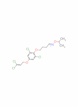 CC(C)O/N=C/CCCOc1c(Cl)cc(OCC=C(Cl)Cl)cc1Cl